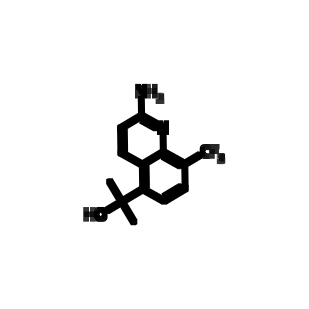 CC(C)(O)c1ccc(C(F)(F)F)c2nc(N)ccc12